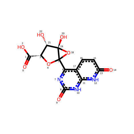 O=C(O)[C@H]1OC2(c3nc(=O)[nH]c4[nH]c(=O)ccc34)O[C@@]2(O)[C@H]1O